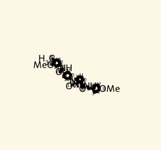 COc1ccc(CNC(=O)c2cccc3c2[nH]c(=O)n3[C@H]2CC[C@@H](C(=O)Nc3ccc(C)c(OC)c3)CC2)cc1